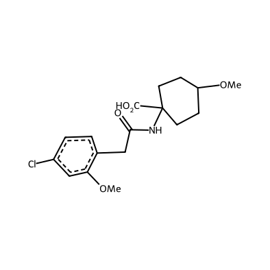 COc1cc(Cl)ccc1CC(=O)NC1(C(=O)O)CCC(OC)CC1